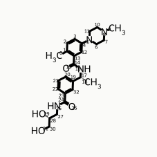 Cc1ccc(N2CCN(C)CC2)cc1C(=O)N[C@H](C)c1cccc(C(=O)NC[C@@H](O)CO)c1